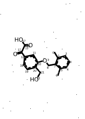 Cc1cccc(C)c1COc1cc(C(=O)C(=O)O)ccc1CO